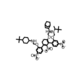 CC(NCOc1cc([N+](=O)[O-])ccc1C1=C(OCNC2CC3CCC2C3)[CH]CC(c2ccc([N+](=O)[O-])cc2OCNC2CCC(C(C)(C)C)CC2)=C1[N+](=O)[O-])C(C)(C)C